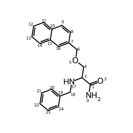 NC(=O)C(COCc1ccc2ccccc2c1)NCc1ccccc1